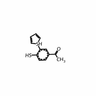 CC(=O)c1ccc(S)c([SH]2C=CC=C2)c1